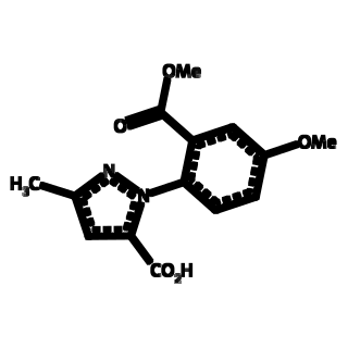 COC(=O)c1cc(OC)ccc1-n1nc(C)cc1C(=O)O